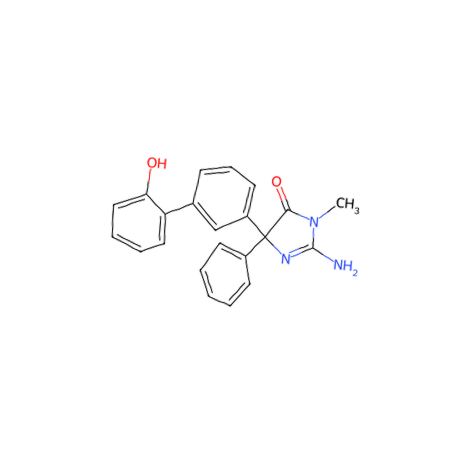 CN1C(=O)C(c2ccccc2)(c2cccc(-c3ccccc3O)c2)N=C1N